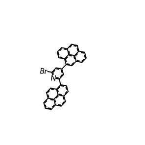 Brc1cc(-c2cc3cccc4ccc5cccc2c5c43)cc(-c2ccc3ccc4cccc5ccc2c3c45)n1